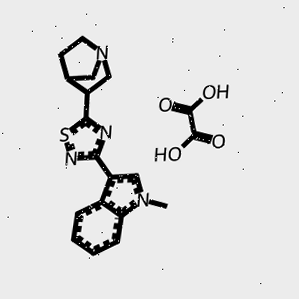 Cn1cc(-c2nsc(C3CN4CCC3C4)n2)c2ccccc21.O=C(O)C(=O)O